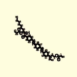 C=CC(=O)OCCN(CC)c1ccc(/N=N/c2ccc(/N=N/c3ccc(C(=O)NC(CCCCCCC)OC(=O)CC)cc3)cc2)cc1